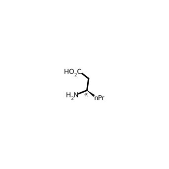 CCC[C@@H](N)CC(=O)O